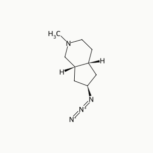 CN1CC[C@@H]2C[C@@H](N=[N+]=[N-])C[C@@H]2C1